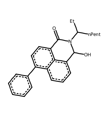 CCCCCC(CC)N1C(=O)c2ccc(-c3ccccc3)c3cccc(c23)C1O